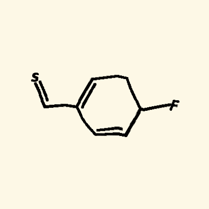 FC1C=CC(C=S)=CC1